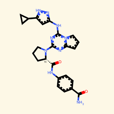 NC(=O)c1ccc(NC(=O)[C@@H]2CCCN2c2nc(Nc3cc(C4CC4)[nH]n3)n3cccc3n2)cc1